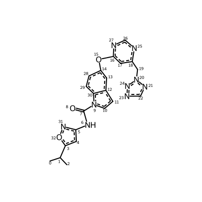 CC(C)c1cc(NC(=O)n2ccc3cc(Oc4cc(Cn5ncnn5)ncn4)ccc32)no1